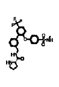 CNS(=O)(=O)c1ccc(Oc2ccc(C(F)(F)F)cc2-c2cccc(CNC(=O)[C@@H]3CCCN3)c2)cc1